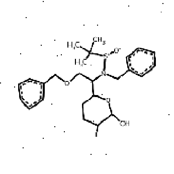 CC(C)(C)[S+]([O-])N(Cc1ccccc1)C(COCc1ccccc1)C1CCC(I)C(O)O1